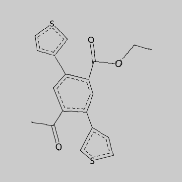 CCOC(=O)c1cc(-c2ccsc2)c(C(C)=O)cc1-c1ccsc1